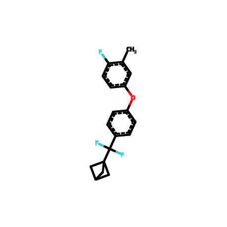 Cc1cc(Oc2ccc(C(F)(F)C34CC(C3)C4)cc2)ccc1F